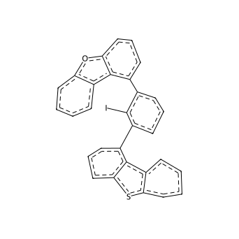 Ic1c(-c2cccc3oc4ccccc4c23)cccc1-c1cccc2sc3ccccc3c12